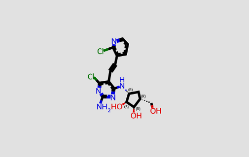 Nc1nc(Cl)c(C#Cc2cccnc2Cl)c(N[C@@H]2C[C@H](CO)[C@@H](O)[C@H]2O)n1